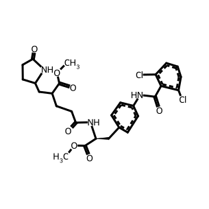 COC(=O)C(CCC(=O)N[C@@H](Cc1ccc(NC(=O)c2c(Cl)cccc2Cl)cc1)C(=O)OC)CC1CCC(=O)N1